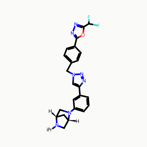 CC(C)N1C[C@@H]2C[C@H]1CN2c1cccc(-c2cn(Cc3ccc(-c4nnc(C(F)F)o4)cc3)nn2)c1